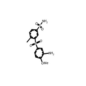 COc1ccc(S(=O)(=O)c2cc(S(N)(=O)=O)ccc2C)cc1N